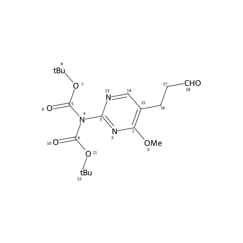 COc1nc(N(C(=O)OC(C)(C)C)C(=O)OC(C)(C)C)ncc1CCC=O